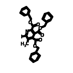 Cc1c(I)nc(C(=O)OCc2ccccc2)c(C(=O)OCc2ccccc2)c1C(=O)OCc1ccccc1